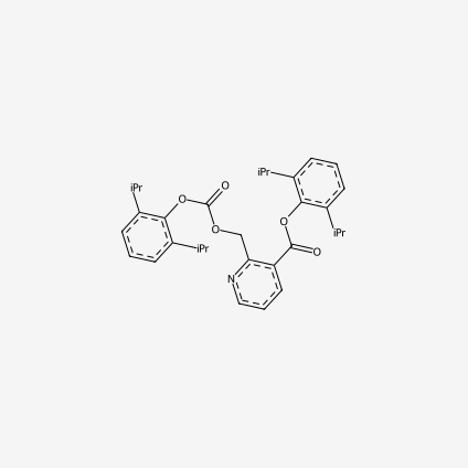 CC(C)c1cccc(C(C)C)c1OC(=O)OCc1ncccc1C(=O)Oc1c(C(C)C)cccc1C(C)C